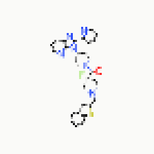 O=C(N1CCC(n2c(-c3ccccn3)nc3cccnc32)CC1)C1(F)CCN(CC2Cc3ccccc3S2)CC1